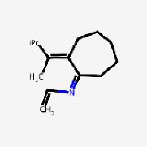 C=C/N=C1/CCCCC/C1=C(/C)C(C)C